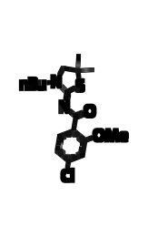 CCCCN1CC(C)(C)S/C1=N\C(=O)c1ccc(Cl)cc1OC